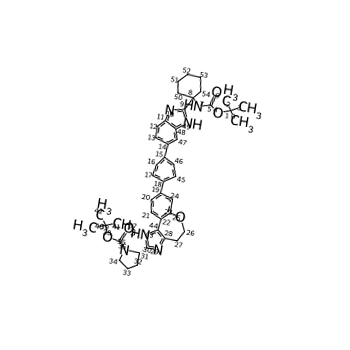 CC(C)(C)OC(=O)NC1(c2nc3ccc(-c4ccc(-c5ccc6c(c5)OCCc5nc([C@@H]7CCCN7C(=O)OC(C)(C)C)[nH]c5-6)cc4)cc3[nH]2)CCCCC1